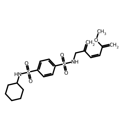 C=C(/C=C\C(=C)OC)CNS(=O)(=O)c1ccc(S(=O)(=O)NC2CCCCC2)cc1